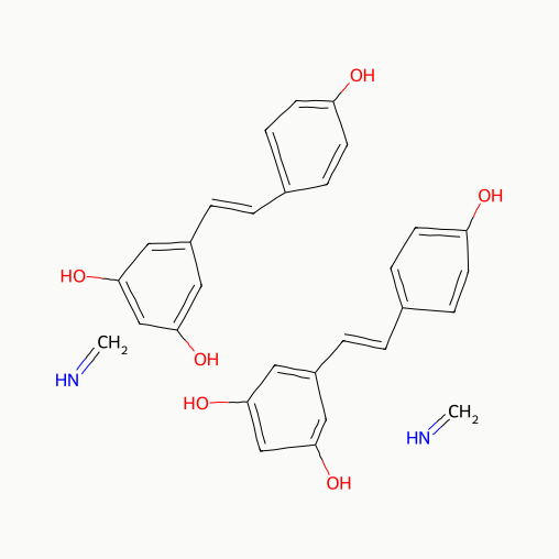 C=N.C=N.Oc1ccc(C=Cc2cc(O)cc(O)c2)cc1.Oc1ccc(C=Cc2cc(O)cc(O)c2)cc1